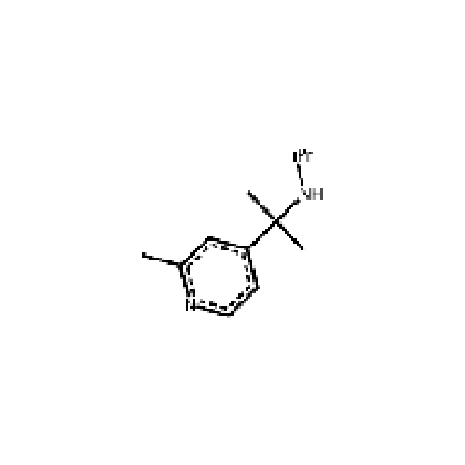 Cc1cc(C(C)(C)NC(C)C)ccn1